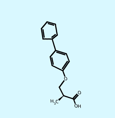 C[C@@H](COc1ccc(-c2ccccc2)cc1)C(=O)O